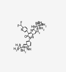 BC(B)(B)N/C=C1/C=C(n2nc3ccc(NC(B)(B)C(B)(B)B)nc3c(-c3ccc(C(F)F)nc3)c2=O)C=CC1=N